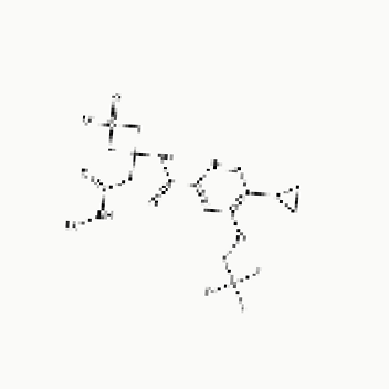 CNC(=O)CC1(NC(=O)c2cc(OCC(F)(F)F)c(C3CC3)cn2)CS(=O)(=O)C1